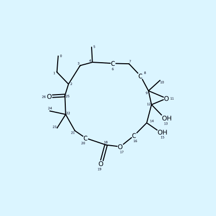 CCC1CC(C)CCCC2(C)OC2(O)C(O)COC(=O)CCC(C)(C)C1=O